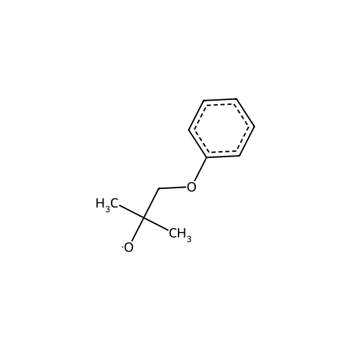 CC(C)([O])COc1ccccc1